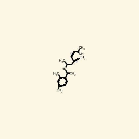 C=C(NC(C)CC(/C=C\C(C)=N)=C/C)c1ccc(C)cc1C